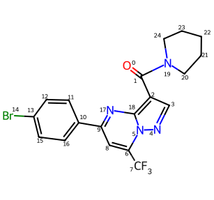 O=C(c1cnn2c(C(F)(F)F)cc(-c3ccc(Br)cc3)nc12)N1CCCCC1